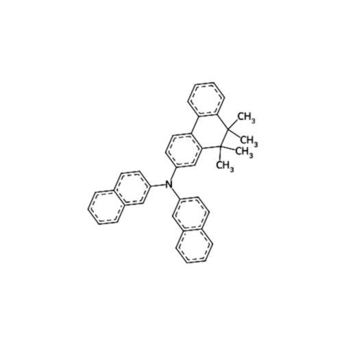 CC1(C)c2ccccc2-c2ccc(N(c3ccc4ccccc4c3)c3ccc4ccccc4c3)cc2C1(C)C